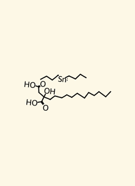 CCCCCCCCCCCCC(O)(CC(=O)O)C(=O)O.CCC[CH2][Sn][CH2]CCC